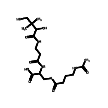 CC(=O)NCCCC(=O)SCC(NC(=O)CCNC(=O)C(O)C(C)(C)CO)C(=O)O